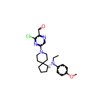 CCN(c1ccc(OC)cc1)[C@@H]1CCCC12CCN(c1cnc(C=O)c(Cl)n1)CC2